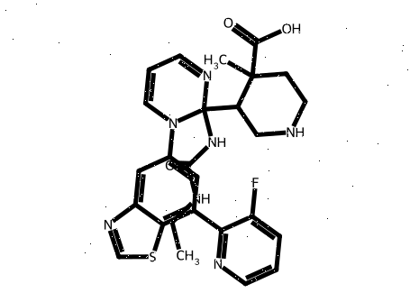 CCNC(=O)NC1(C2CNCCC2(C)C(=O)O)N=CC=CN1c1cc(-c2ncccc2F)c2scnc2c1